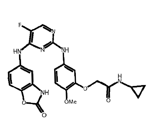 COc1ccc(Nc2ncc(F)c(Nc3ccc4oc(=O)[nH]c4c3)n2)cc1OCC(=O)NC1CC1